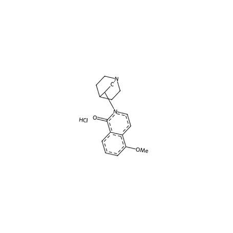 COc1cccc2c(=O)n(C3CN4CCC3CC4)ccc12.Cl